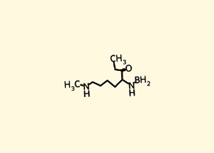 BNC(CCCCNC)C(=O)CC